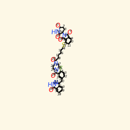 O=C1CCC(N2C(=O)c3cccc(SCCCCCC(=O)N4CCN(C(=O)c5cc(Cc6n[nH]c(=O)c7ccccc67)ccc5F)CC4)c3C2=O)C(=O)N1